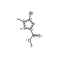 COC(=S)c1cc(Br)c(C)s1